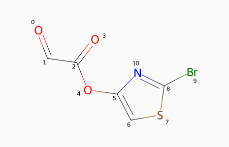 O=CC(=O)Oc1csc(Br)n1